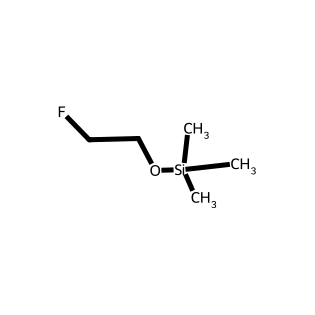 C[Si](C)(C)OCCF